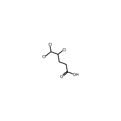 O=C(O)CCC(Cl)C(Cl)Cl